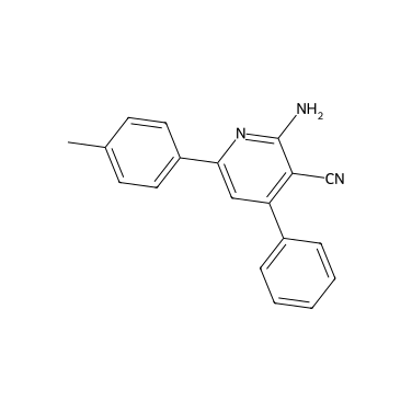 Cc1ccc(-c2cc(-c3ccccc3)c(C#N)c(N)n2)cc1